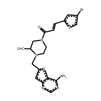 Nc1ncnc2cc(CN3CCN(C(=O)C=Cc4cc(Br)cs4)CC3C=O)sc12